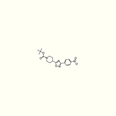 CC(C)(C)OC(=O)N1CCC(c2nc(-c3ccc([N+](=O)[O-])cc3)no2)CC1